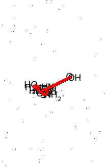 NC(=O)[C@H](Cc1ccc(O)cc1)NCC(=O)[C@@H]1CSSC[C@H](N)C(=O)N[C@@H](CCCCNC(=O)CCCCCCCCCCCCCCCCC(=O)O)C(=O)CN1